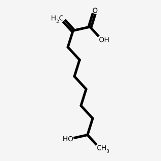 C=C(CCCCCCC(C)O)C(=O)O